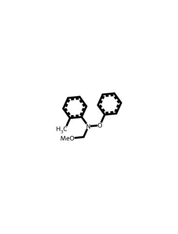 COCN(Oc1ccccc1)c1ccccc1C